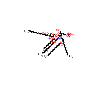 CCCCCCCCCCCCCC(=O)OC(CCCCCCCCCCC)CC(=O)OC1C(NC(=O)CC(CCCCCCCCCCC)OC(=O)CCCCCCCCCCC)[C@H](OCC2OCC(NC(=O)CC(O)CCCCCCCCCCC)C(O)[C@@H]2O)OC(CO)[C@H]1CCCOP(=O)(O)O